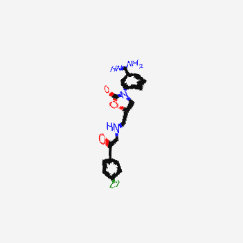 N=C(N)c1cccc(N2CC(CNCC(=O)c3ccc(Cl)cc3)OC2=O)c1